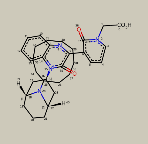 O=C(O)Cn1cccc(-c2nc3ccccc3n([C@@H]3C[C@H]4CCC[C@@H](C3)N4C3CCCCCCCCC3)c2=O)c1=O